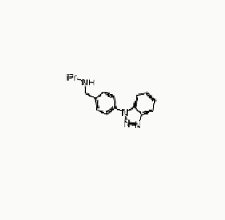 CC(C)NCc1ccc(-n2nnc3ccccc32)cc1